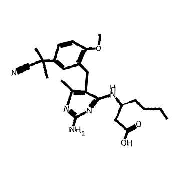 CCCC[C@@H](CC(=O)O)Nc1nc(N)nc(C)c1Cc1cc(C(C)(C)C#N)ccc1OC